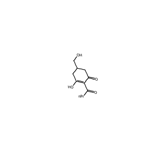 CCCC(=O)C1=C(O)CC(CO)CC1=O